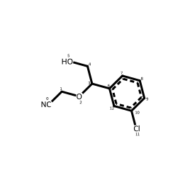 N#CCOC(CO)c1cccc(Cl)c1